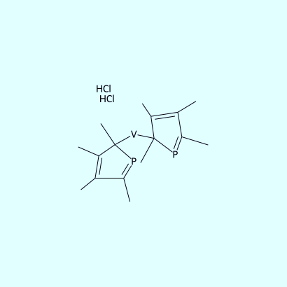 CC1=P[C](C)([V][C]2(C)P=C(C)C(C)=C2C)C(C)=C1C.Cl.Cl